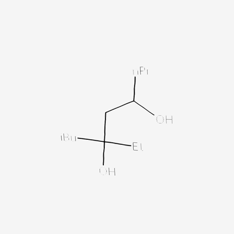 CCCC(O)CC(O)(CC)C(C)CC